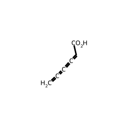 C=C=C=C=CC(=O)O